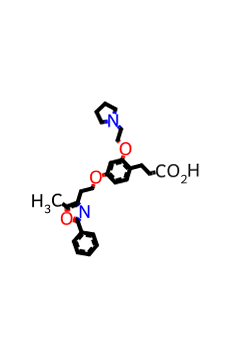 Cc1oc(-c2ccccc2)nc1CCOc1ccc(CCC(=O)O)c(OCCN2CCCC2)c1